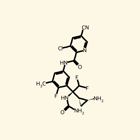 Cc1cc(NC(=O)c2ncc(C#N)cc2Cl)cc([C@](NC(N)=O)(C(F)F)[C@H]2C[C@H]2N)c1F